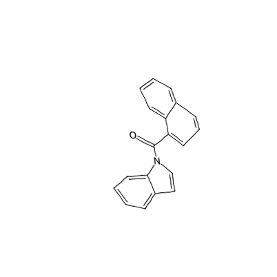 O=C(c1cccc2ccccc12)n1ccc2ccccc21